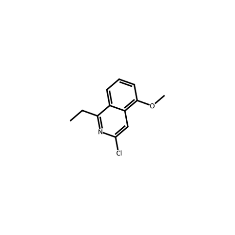 CCc1nc(Cl)cc2c(OC)cccc12